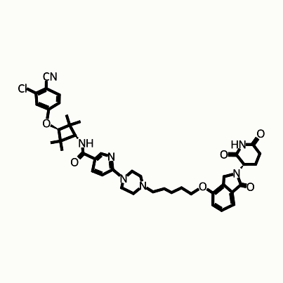 CC1(C)[C@H](NC(=O)c2ccc(N3CCN(CCCCCOc4cccc5c4CN([C@H]4CCC(=O)NC4=O)C5=O)CC3)nc2)C(C)(C)[C@H]1Oc1ccc(C#N)c(Cl)c1